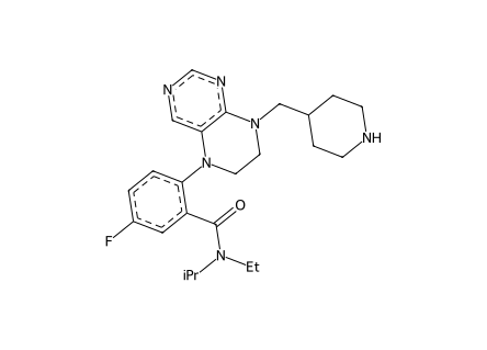 CCN(C(=O)c1cc(F)ccc1N1CCN(CC2CCNCC2)c2ncncc21)C(C)C